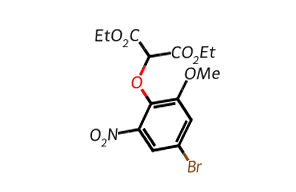 CCOC(=O)C(Oc1c(OC)cc(Br)cc1[N+](=O)[O-])C(=O)OCC